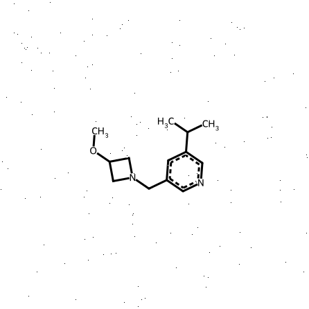 COC1CN(Cc2cncc(C(C)C)c2)C1